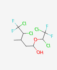 CC(CC(O)OC(Cl)C(F)(F)Cl)C(Cl)C(F)(F)Cl